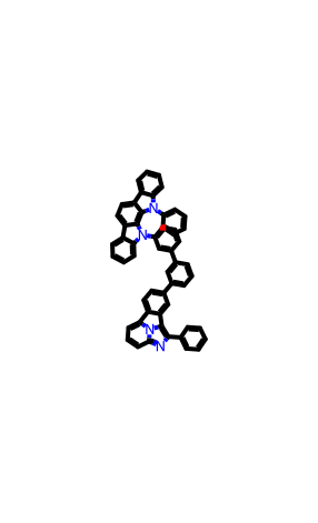 c1ccc(-c2nc3cccc4c5ccc(-c6cccc(-c7cccc(-n8c9ccccc9c9ccc%10c%11ccccc%11n(-c%11ccccc%11)c%10c98)c7)c6)cc5c2n34)cc1